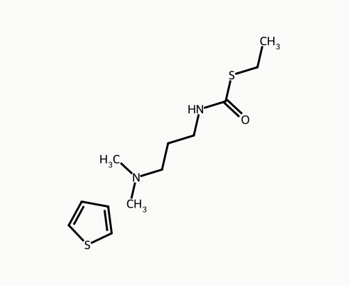 CCSC(=O)NCCCN(C)C.c1ccsc1